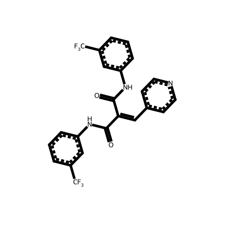 O=C(Nc1cccc(C(F)(F)F)c1)C(=Cc1ccncc1)C(=O)Nc1cccc(C(F)(F)F)c1